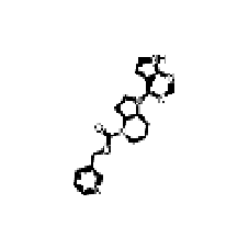 O=C(OCc1cccnc1)N1CCCC2C1CCN2c1ncnc2[nH]ccc12